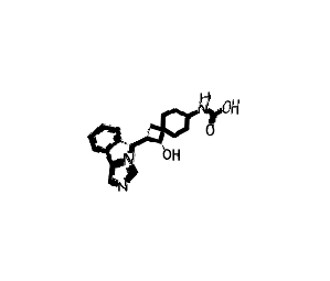 O=C(O)NC1CCC2(CC1)C[C@@H]([C@H]1c3ccccc3-c3cncn31)[C@H]2O